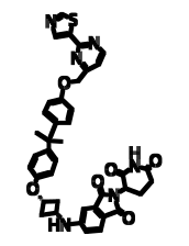 CC(C)(c1ccc(OCc2ccnc(-c3cncs3)n2)cc1)c1ccc(O[C@H]2C[C@H](Nc3ccc4c(c3)C(=O)N(C3CCC(=O)NC3=O)C4=O)C2)cc1